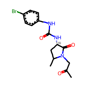 CC(=O)CN1C(=O)[C@@H](NC(=O)Nc2ccc(Br)cc2)CC1C